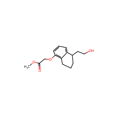 COC(=O)COc1cccc2c1CCCC2CCO